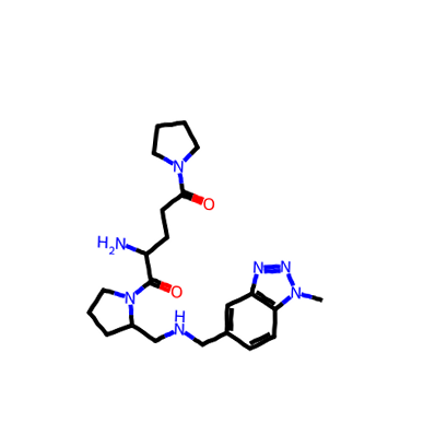 Cn1nnc2cc(CNCC3CCCN3C(=O)C(N)CCC(=O)N3CCCC3)ccc21